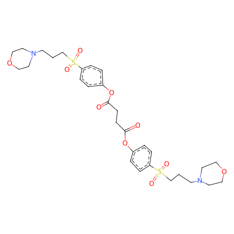 O=C(CCC(=O)Oc1ccc(S(=O)(=O)CCCN2CCOCC2)cc1)Oc1ccc(S(=O)(=O)CCCN2CCOCC2)cc1